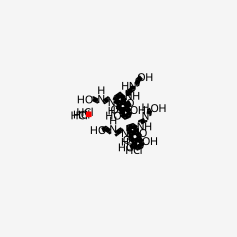 Cl.Cl.Cl.Cl.O=C1c2c(O)ccc(O)c2C(=O)c2c(NCCNCCO)ccc(NCCNCCO)c21.O=C1c2c(O)ccc(O)c2C(=O)c2c(NCCNCCO)ccc(NCCNCCO)c21